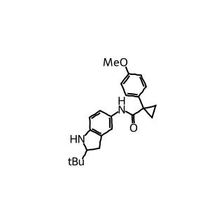 COc1ccc(C2(C(=O)Nc3ccc4c(c3)CC(C(C)(C)C)N4)CC2)cc1